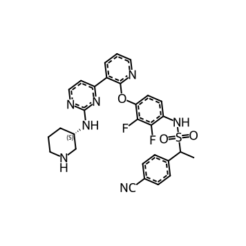 CC(c1ccc(C#N)cc1)S(=O)(=O)Nc1ccc(Oc2ncccc2-c2ccnc(N[C@H]3CCCNC3)n2)c(F)c1F